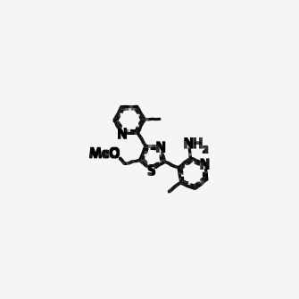 COCc1sc(-c2c(C)ccnc2N)nc1-c1ncccc1C